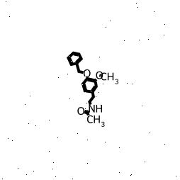 COc1cc(CCNC(C)=O)ccc1OCc1ccccc1